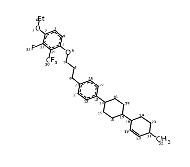 CCOc1ccc(OCCCc2ccc(C3CCC(C4C=CC(C)CC4)CC3)cc2)c(C(F)(F)F)c1F